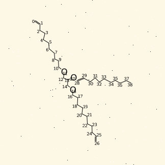 C=CCCCCCCCCCOCC(COCCCCCCCCCC=C)OC=CCCCCCCCCC